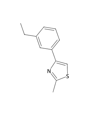 CCc1cccc(-c2csc(C)n2)c1